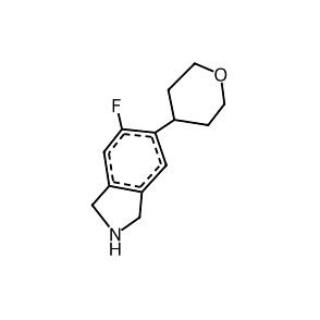 Fc1cc2c(cc1C1CCOCC1)CNC2